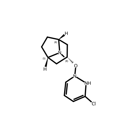 CN1[C@@H]2CC[C@H]1C[C@@H](ON1C=CC=C(Cl)N1)C2